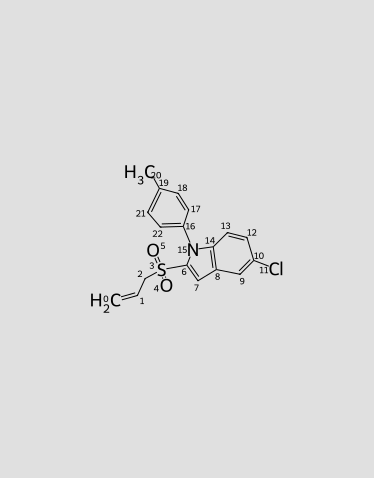 C=CCS(=O)(=O)c1cc2cc(Cl)ccc2n1-c1ccc(C)cc1